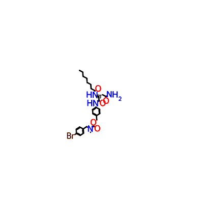 CCCCCCCC(=O)N[C@H](CC(N)=O)C(=O)Nc1ccc(COC(=O)N(C)Cc2ccc(Br)cc2)cc1